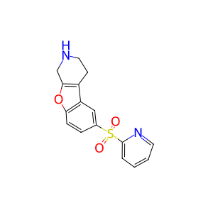 O=S(=O)(c1ccc2oc3c(c2c1)CCNC3)c1ccccn1